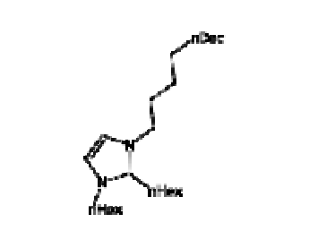 CCCCCCCCCCCCCCN1C=CN(CCCCCC)C1CCCCCC